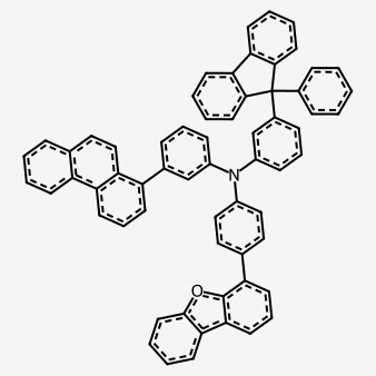 c1ccc(C2(c3cccc(N(c4ccc(-c5cccc6c5oc5ccccc56)cc4)c4cccc(-c5cccc6c5ccc5ccccc56)c4)c3)c3ccccc3-c3ccccc32)cc1